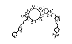 CO[C@]1(C)C[C@@H](C)C(=O)[C@H](C)[C@@H]2N(CCCCn3cnc(-c4cccnc4)c3)C(=O)O[C@]2(C)[C@@H](I)OC(=O)[C@H](C)C(=O)[C@H](C)[C@H]1O[C@@H]1O[C@H](C)C[C@H](N(C)CCc2cn(CCc3ccc(C(F)(F)F)cc3)nn2)[C@H]1O